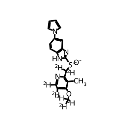 [2H]c1nc(C([2H])([2H])[S+]([O-])c2nc3cc(-n4cccc4)ccc3[nH]2)c(C)c(OC([2H])([2H])[2H])c1[2H]